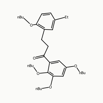 CCCCOc1cc(OCCCC)c(OCCCC)c(C(=O)CCc2cc(CC)ccc2OCCCC)c1